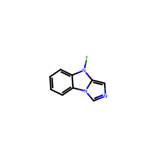 Fn1c2ccccc2n2cncc12